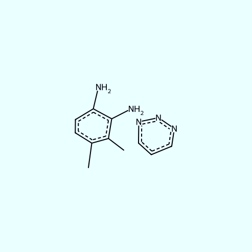 Cc1ccc(N)c(N)c1C.c1cnnnc1